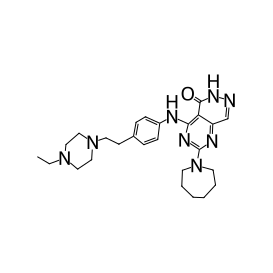 CCN1CCN(CCc2ccc(Nc3nc(N4CCCCCC4)nc4cn[nH]c(=O)c34)cc2)CC1